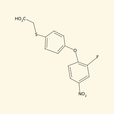 O=C(O)CSc1ccc(Oc2ccc([N+](=O)[O-])cc2F)cc1